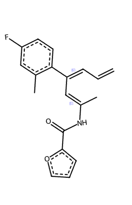 C=C/C=C(\C=C(/C)NC(=O)c1ccco1)c1ccc(F)cc1C